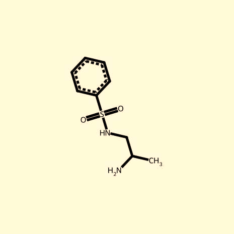 CC(N)CNS(=O)(=O)c1ccccc1